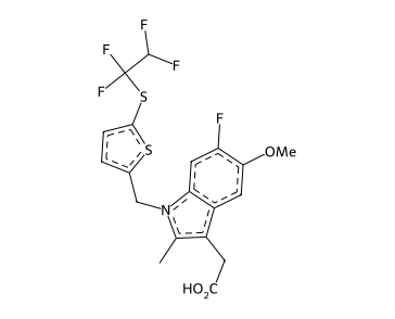 COc1cc2c(CC(=O)O)c(C)n(Cc3ccc(SC(F)(F)C(F)F)s3)c2cc1F